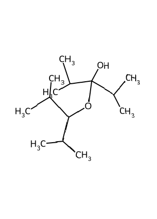 CC(C)C(OC(O)(C(C)C)C(C)C)C(C)C